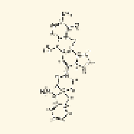 Nc1nccc(Sc2c(CO)cc(N3CCC4(CC3)Cc3ccccc3C4N)n3ncnc23)c1Cl